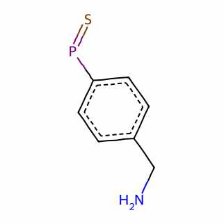 NCc1ccc(P=S)cc1